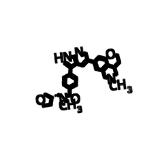 CN1Cc2cc(-c3cnc4[nH]cc(-c5ccc(C(=O)N(C)C[C@@H]6CCOC6)cc5)c4c3)cc3c2C(CCO3)C1